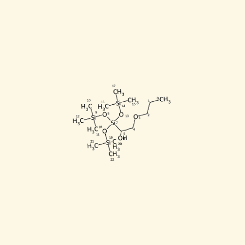 CCCOCC(O)[Si](O[Si](C)(C)C)(O[Si](C)(C)C)O[Si](C)(C)C